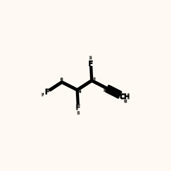 C#CC(F)C(F)CF